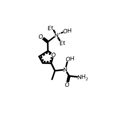 CC[N+](O)(CC)C(=O)c1ccc(C(C)N(O)C(N)=O)o1